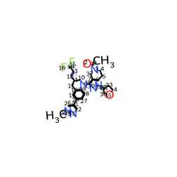 CC(=O)N1CCc2c(c(N3CC(/C=C/C(F)F)Cc4cc(-c5cnn(C)c5)ccc43)nn2[C@H]2CCOC2)C1